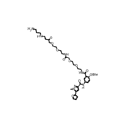 COc1ccc(NC(=O)c2cc(-c3ccco3)n(C)n2)cc1C(=O)NCCOCCOCC(=O)NCCOCCOCC(=O)CCNCCCN